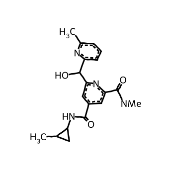 CNC(=O)c1cc(C(=O)NC2CC2C)cc(C(O)c2cccc(C)n2)n1